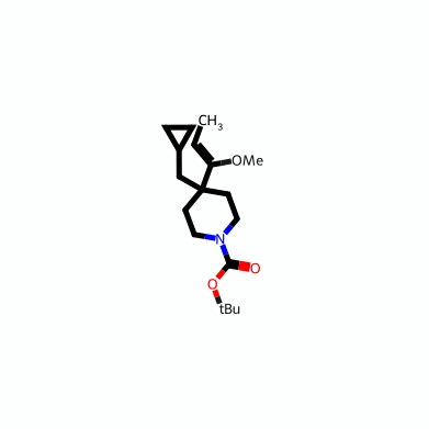 C/C=C(\OC)C1(CC2CC2)CCN(C(=O)OC(C)(C)C)CC1